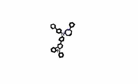 C1#CC/C(N(c2ccc(C3=CCCC=C3)cc2)c2ccc(C3=CC4c5ccccc5N(c5ccccc5)C4C=C3)cc2)=C\C=C(\c2ccccc2)C1